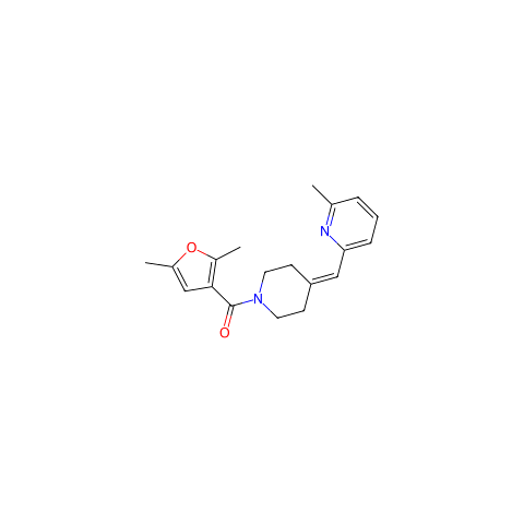 Cc1cccc(C=C2CCN(C(=O)c3cc(C)oc3C)CC2)n1